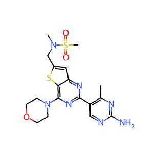 Cc1nc(N)ncc1-c1nc(N2CCOCC2)c2sc(CN(C)S(C)(=O)=O)cc2n1